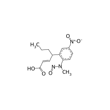 CCCC(C=CC(=O)O)c1cc([N+](=O)[O-])ccc1N(C)N=O